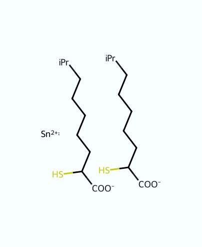 CC(C)CCCCCC(S)C(=O)[O-].CC(C)CCCCCC(S)C(=O)[O-].[Sn+2]